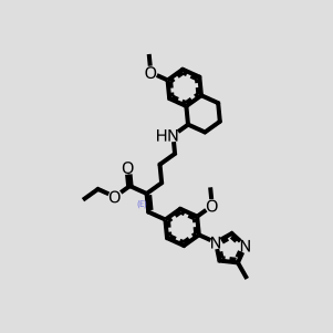 CCOC(=O)/C(=C/c1ccc(-n2cnc(C)c2)c(OC)c1)CCCNC1CCCc2ccc(OC)cc21